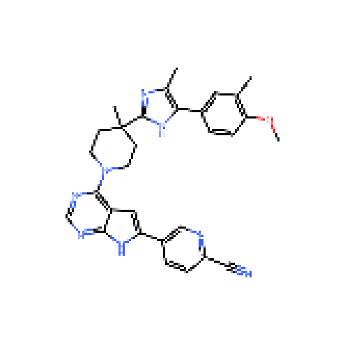 COc1ccc(-c2[nH]c(C3(C)CCN(c4ncnc5[nH]c(-c6ccc(C#N)nc6)cc45)CC3)nc2C)cc1C